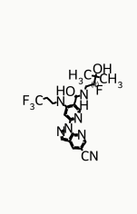 CC(C)(O)[C@H](F)CNC(=O)c1cnc(-n2ncc3cc(C#N)cnc32)cc1NCCC(F)(F)F